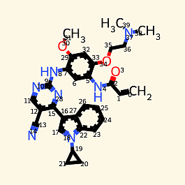 C=CC(=O)Nc1cc(Nc2ncc(C#N)c(-c3cn(C4CC4)c4ccccc34)n2)c(OC)cc1OCCN(C)C